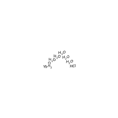 Cl.O.O.O.O.O.O.[Yb]